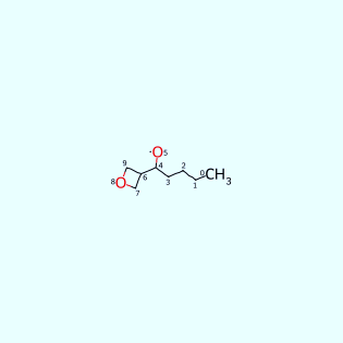 CCCCC([O])C1COC1